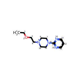 CCOCCN1CCN(c2ncccn2)CC1